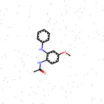 COc1ccc(NC(C)=O)c(Nc2ccccc2)c1